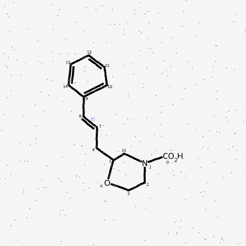 O=C(O)N1CCOC(C/C=C/c2ccccc2)C1